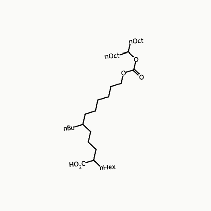 CCCCCCCCC(CCCCCCCC)OC(=O)OCCCCCCC(CCCC)CCCC(CCCCCC)C(=O)O